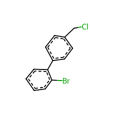 ClCc1ccc(-c2ccccc2Br)cc1